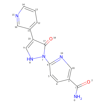 NC(=O)c1ccc(-n2[nH]cc(-c3cccnc3)c2=O)nc1